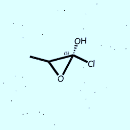 CC1O[C@]1(O)Cl